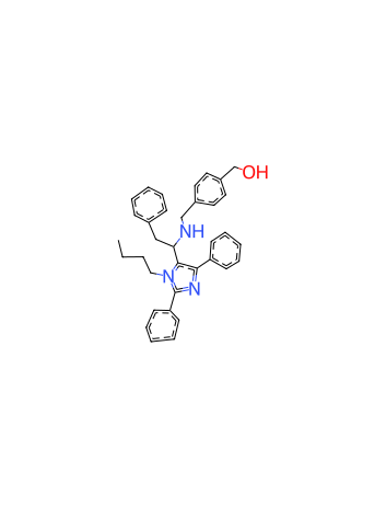 CCCCn1c(-c2ccccc2)nc(-c2ccccc2)c1C(Cc1ccccc1)NCc1ccc(CO)cc1